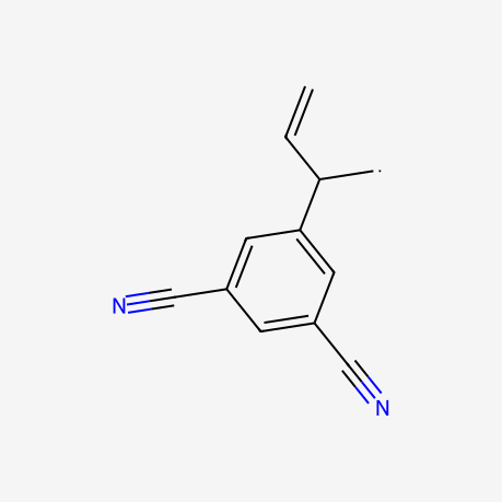 [CH2]C(C=C)c1cc(C#N)cc(C#N)c1